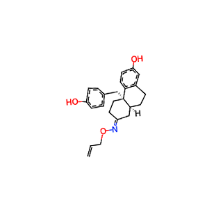 C=CCON=C1CC[C@@]2(Cc3ccc(O)cc3)c3ccc(O)cc3CC[C@H]2C1